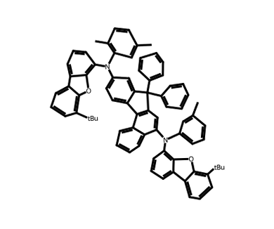 Cc1cccc(N(c2cc3c(c4ccccc24)-c2ccc(N(c4cc(C)ccc4C)c4cccc5c4oc4c(C(C)(C)C)cccc45)cc2C3(c2ccccc2)c2ccccc2)c2cccc3c2oc2c(C(C)(C)C)cccc23)c1